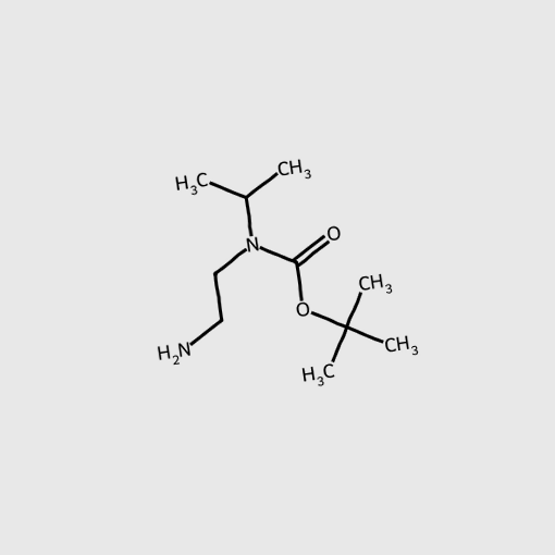 CC(C)N(CCN)C(=O)OC(C)(C)C